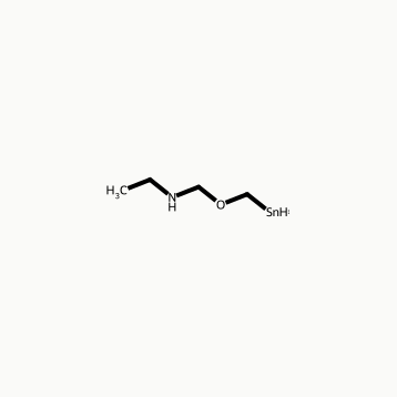 CCNCO[CH2][SnH]